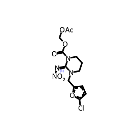 CC(=O)OCOC(=O)N1CCCN(Cc2ccc(Cl)o2)/C1=N\[N+](=O)[O-]